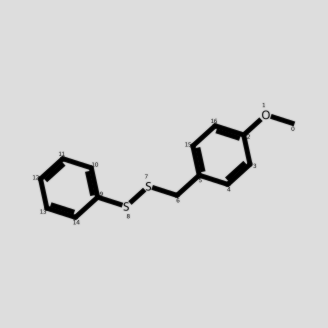 COc1ccc(CSSc2ccccc2)cc1